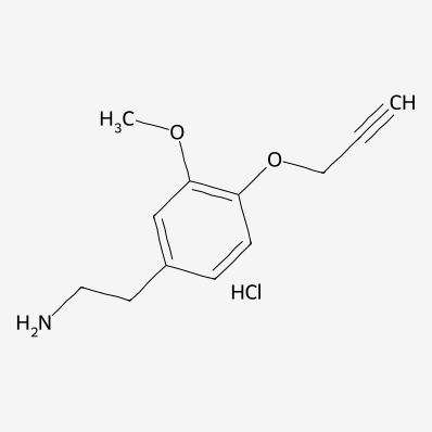 C#CCOc1ccc(CCN)cc1OC.Cl